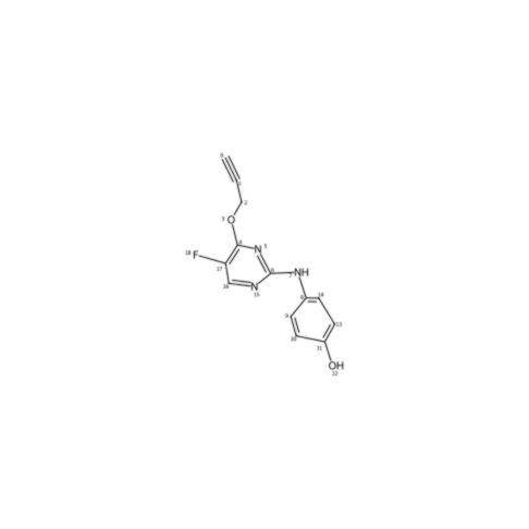 C#CCOc1nc(Nc2ccc(O)cc2)ncc1F